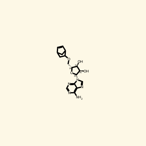 Nc1ncnc2c1ncn2[C@@H]1O[C@H](COC2CC3C=CC2C3)[C@@H](O)[C@H]1O